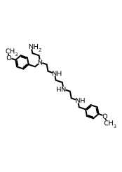 COc1ccc(CNCCNCCNCCN(CCN)Cc2ccc(OC)cc2)cc1